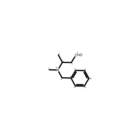 CC(CC=O)N(C)Cc1ccccc1